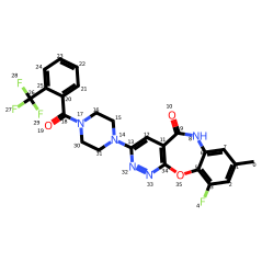 Cc1cc(F)c2c(c1)NC(=O)c1cc(N3CCN(C(=O)c4ccccc4C(F)(F)F)CC3)nnc1O2